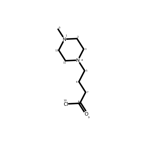 CN1CCN(CCCC(=O)Cl)CC1